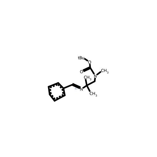 CN(CC(C)(C)/N=C/c1ccccc1)C(=O)OC(C)(C)C